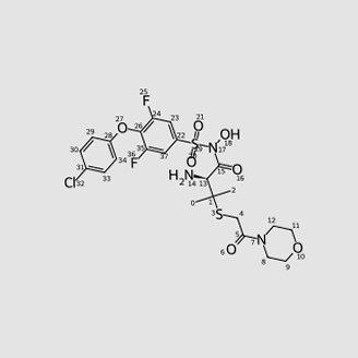 CC(C)(SCC(=O)N1CCOCC1)[C@@H](N)C(=O)N(O)S(=O)(=O)c1cc(F)c(Oc2ccc(Cl)cc2)c(F)c1